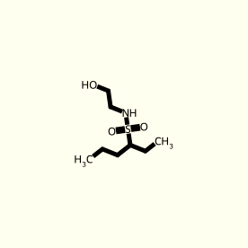 CCCC(CC)S(=O)(=O)NCCO